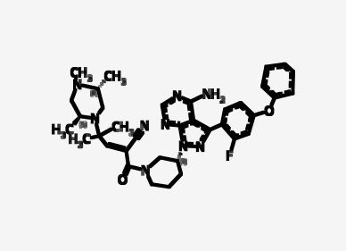 C[C@@H]1CN(C(C)(C)C=C(C#N)C(=O)N2CCC[C@@H](n3nc(-c4ccc(Oc5ccccc5)cc4F)c4c(N)ncnc43)C2)[C@@H](C)CN1C